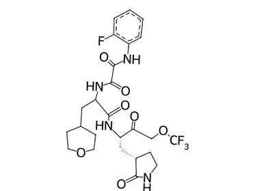 O=C(Nc1ccccc1F)C(=O)NC(CC1CCOCC1)C(=O)N[C@@H](C[C@@H]1CCNC1=O)C(=O)COC(F)(F)F